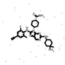 C#Cc1cc(C)c(Nc2nc3cnc(NC4CCC(C)(P)CC4)nc3n2[C@H]2CC[C@@H](C(N)=O)CC2)c(F)c1